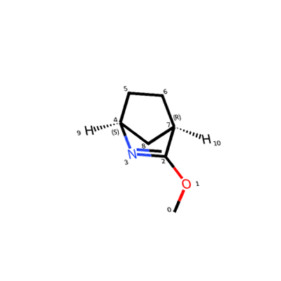 COC1=N[C@H]2CC[C@@H]1C2